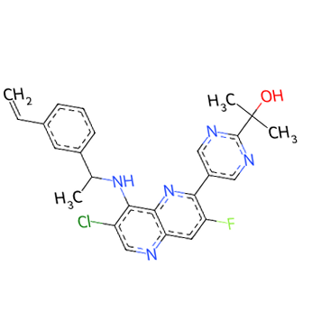 C=Cc1cccc(C(C)Nc2c(Cl)cnc3cc(F)c(-c4cnc(C(C)(C)O)nc4)nc23)c1